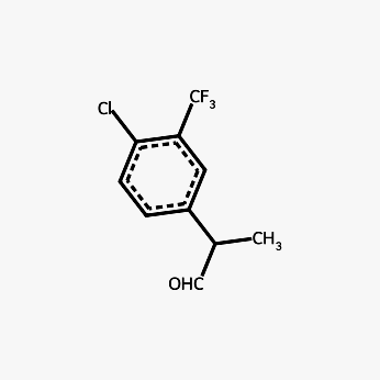 CC(C=O)c1ccc(Cl)c(C(F)(F)F)c1